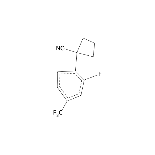 N#CC1(c2ccc(C(F)(F)F)cc2F)CCC1